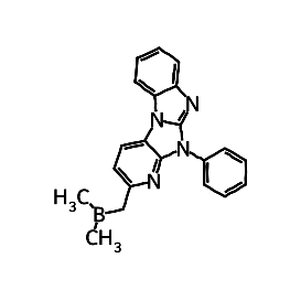 CB(C)Cc1ccc2c(n1)n(-c1ccccc1)c1nc3ccccc3n21